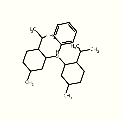 CC1CCC(C(C)C)C([SiH](c2ccccc2)C2CC(C)CCC2C(C)C)C1